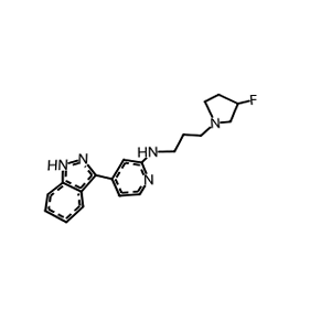 FC1CCN(CCCNc2cc(-c3n[nH]c4ccccc34)ccn2)C1